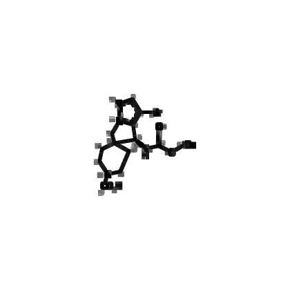 CC(C)(C)OC(=O)N[C@@H]1c2c(Br)cnn2CC12CCN(C(=O)O)CC2